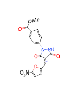 COC(=O)c1ccc(N2NC(=O)/C(=C/c3ccc([N+](=O)[O-])o3)C2=O)cc1